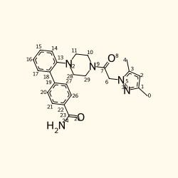 Cc1cc(C)n(CC(=O)N2CCN(c3ccccc3-c3ccc(C(N)=O)cc3)CC2)n1